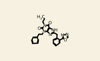 CCCn1c(=O)c2[nH]c(Cc3ccccc3-c3nnco3)nc2n(CCc2ccccc2)c1=O